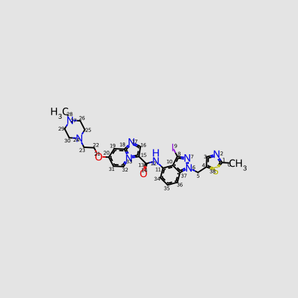 Cc1ncc(Cn2nc(I)c3c(NC(=O)c4cnc5cc(OCCN6CCN(C)CC6)ccn45)cccc32)s1